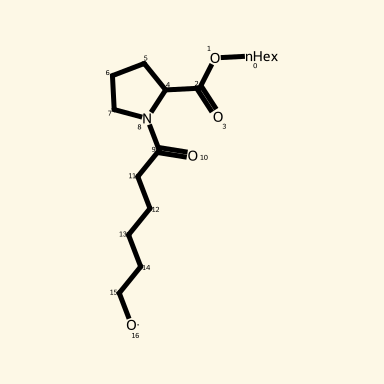 CCCCCCOC(=O)C1CCCN1C(=O)CCCCC[O]